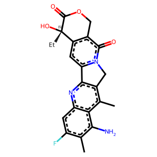 CC[C@@]1(O)C(=O)OCc2c1cc1n(c2=O)Cc2c-1nc1cc(F)c(C)c(N)c1c2C